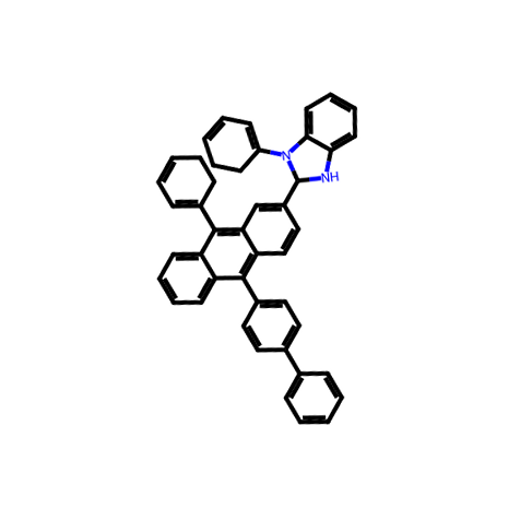 C1=CCCC(c2c3ccccc3c(-c3ccc(-c4ccccc4)cc3)c3ccc(C4Nc5ccccc5N4C4=CC=CCC4)cc23)=C1